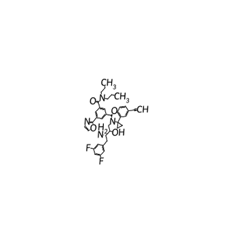 C#Cc1cccc(C2(N(C[C@@H](O)[C@@H](N)Cc3cc(F)cc(F)c3)C(=O)c3cc(C(=O)N(CCC)CCC)cc(-c4ncco4)c3)CC2)c1